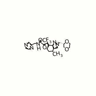 CC1Cc2oc(C(=O)NCc3cnccn3)c(C(F)(F)F)c2-c2nn(C[C@H]3COCCO3)cc21